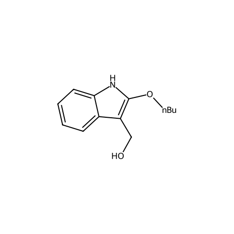 CCCCOc1[nH]c2ccccc2c1CO